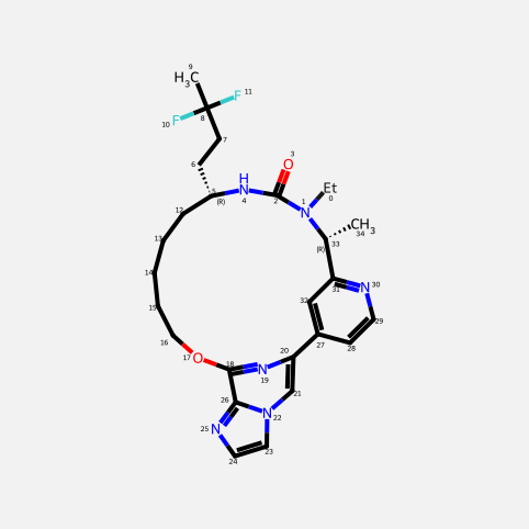 CCN1C(=O)N[C@@H](CCC(C)(F)F)CCCCCOc2nc(cn3ccnc23)-c2ccnc(c2)[C@H]1C